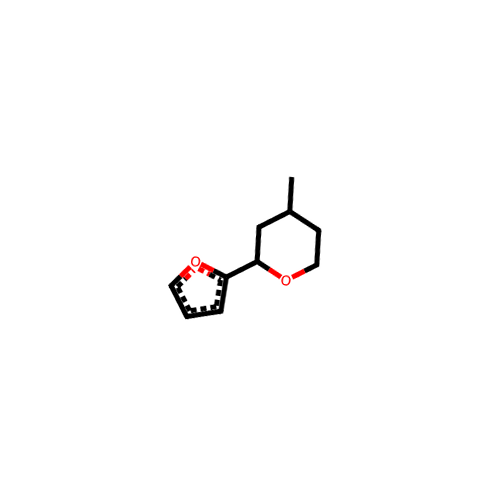 CC1CCOC(c2ccco2)C1